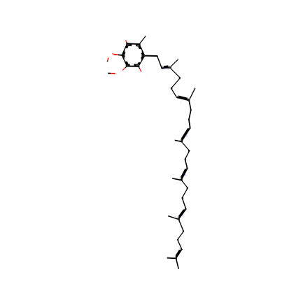 COc1c(O)c(C)c(C/C=C(\C)CC/C=C(\C)CC/C=C(\C)CC/C=C(\C)CC/C=C(\C)CCC=C(C)C)c(O)c1OC